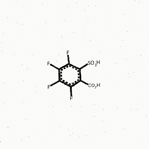 O=C(O)c1c(F)c(F)c(F)c(F)c1S(=O)(=O)O